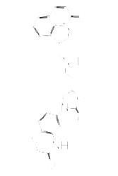 O=C1CSc2ccc(N3C[C@H](CCNC[C@H]4Cn5c(=O)ccc6cccc4c65)OC3=O)cc2N1